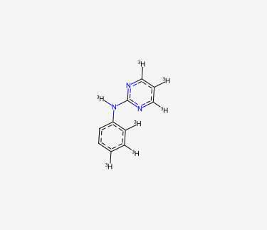 [3H]c1ccc(N([3H])c2nc([3H])c([3H])c([3H])n2)c([3H])c1[3H]